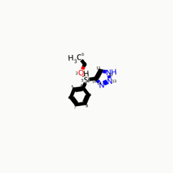 CCO[SiH](c1ccccc1)c1c[nH]nn1